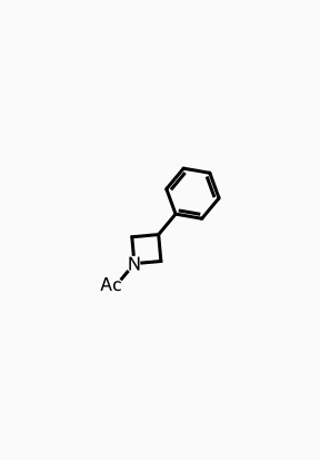 CC(=O)N1CC(c2ccccc2)C1